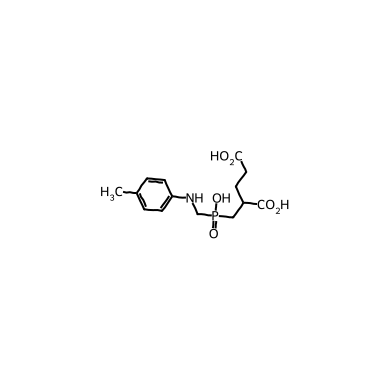 Cc1ccc(NCP(=O)(O)CC(CCC(=O)O)C(=O)O)cc1